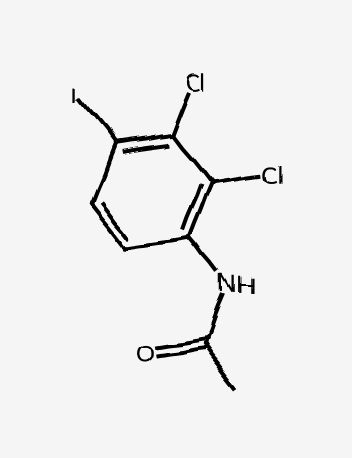 CC(=O)Nc1ccc(I)c(Cl)c1Cl